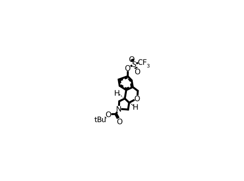 CC(C)(C)OC(=O)N1C[C@@H]2OCc3cc(OS(=O)(=O)C(F)(F)F)ccc3[C@@H]2C1